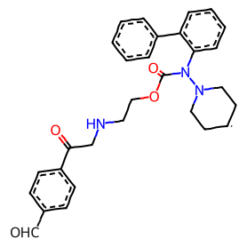 O=Cc1ccc(C(=O)CNCCOC(=O)N(c2ccccc2-c2ccccc2)N2CC[CH]CC2)cc1